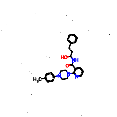 Cc1ccc(N2CCN(c3ncccc3C(=O)NC(O)CCc3ccccc3)CC2)cc1